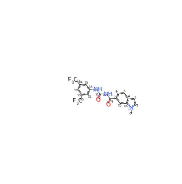 Cn1ccc2ccc(C(=O)NC(=O)Nc3cc(C(F)(F)F)cc(C(F)(F)F)c3)cc21